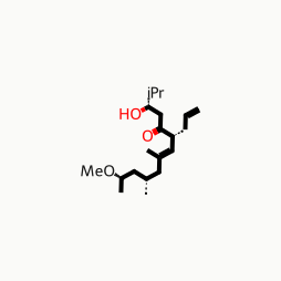 C=CC[C@H](/C=C(\C)C[C@H](C)C[C@@H](C)OC)C(=O)C[C@H](O)C(C)C